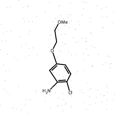 COCCOc1ccc(Cl)c(N)c1